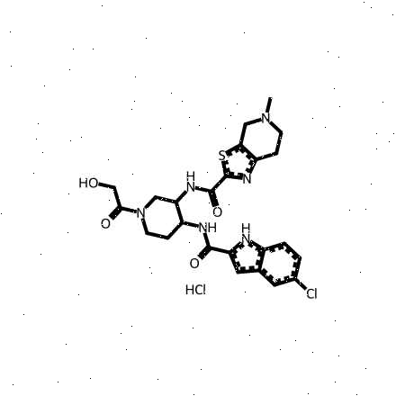 CN1CCc2nc(C(=O)NC3CN(C(=O)CO)CCC3NC(=O)c3cc4cc(Cl)ccc4[nH]3)sc2C1.Cl